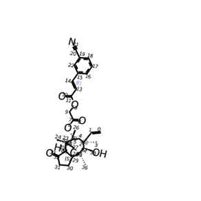 C=C[C@]1(C)C[C@@H](OC(=O)COC(=O)/C=C/c2cccc(C#N)c2)[C@]2(C)[C@H](C)CC[C@]3(CCC(=O)[C@H]32)[C@@H](C)[C@@H]1O